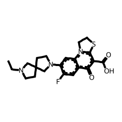 CCN1CCC2(CCN(c3cc4c(cc3F)c(=O)c(C(=O)O)c3n4CCS3)C2)C1